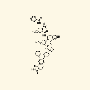 C=C1NN=C2c3cc(-c4ccccc4)c(-c4ccc(C5(NC(=O)[C@@H]6C[C@@H](O)CN6C(=O)[C@H](Cc6c[nH]cn6)NC(=O)C6C[C@@H](O)CN6C(=O)[C@@H](C)NC(=O)c6ccncc6)CCC5)cc4)nc3C=CN12